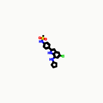 CS(=O)(=O)Nc1ccc(-c2cc3cc(Cl)cc(NC4CCCC4)c3[nH]2)cc1